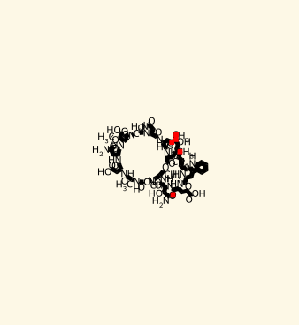 CCC(C)C1NC(=O)C(CCC(=O)O)NC(=O)C(CC(N)=O)NC(=O)CNC(=O)C(C(OC)C(=O)O)NC(=O)C(CC(N)=O)NC(=O)C(CC(=O)O)NC(=O)C(C)NC(=O)CN(C)C(=O)C(NC(=O)C(NC(=O)C(CCC(=O)O)NC(=O)C(Cc2c[nH]c3ccccc23)NC(=O)CCCCCCC(C)C)C(O)C(N)=O)C(C)OC1=O